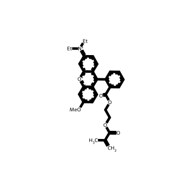 C=C(C)C(=O)OCCOC(=O)c1ccccc1-c1c2ccc(=[N+](CC)CC)cc-2oc2cc(OC)ccc12